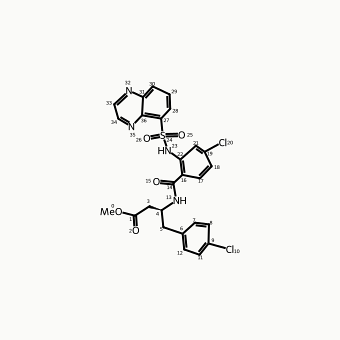 COC(=O)C[C@H](Cc1ccc(Cl)cc1)NC(=O)c1ccc(Cl)cc1NS(=O)(=O)c1cccc2nccnc12